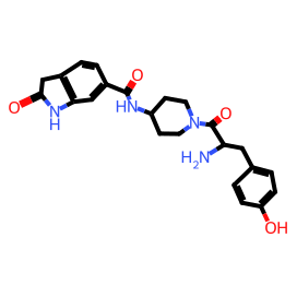 NC(Cc1ccc(O)cc1)C(=O)N1CCC(NC(=O)c2ccc3c(c2)NC(=O)C3)CC1